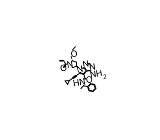 C=CC(=O)N1C[C@H](n2c(C#CC3CC3)c(C(=O)NC(C)c3ccccc3)c3c(N)ncnc32)C[C@@H]1COCC